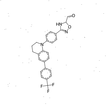 O=CC1NC(c2ccc(N3CCCc4cc(-c5ccc(C(F)(F)F)cc5)ccc43)cc2)=NO1